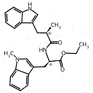 CCOC(=O)[C@@H](Cc1cn(C)c2ccccc12)NC(=O)[C@H](C)Cc1c[nH]c2ccccc12